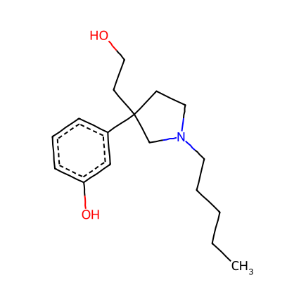 CCCCCN1CCC(CCO)(c2cccc(O)c2)C1